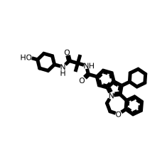 CC(C)(NC(=O)c1ccc2c(C3CCCCC3)c3n(c2c1)CCOc1ccccc1-3)C(=O)NC1CCC(O)CC1